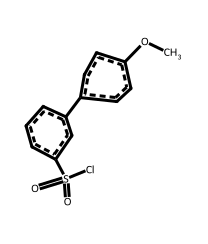 COc1ccc(-c2cccc(S(=O)(=O)Cl)c2)cc1